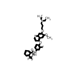 CCN(CC)CCCOc1cc2nccc(Oc3ccc(NS(=O)(=O)c4ccccc4C(F)(F)F)cc3F)c2cc1OC